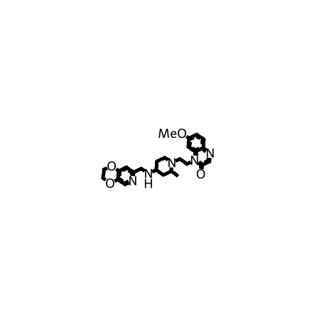 COc1ccc2ncc(=O)n(CCN3CCC(NCc4cc5c(cn4)OCCO5)CC3C)c2c1